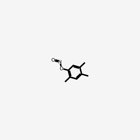 Cc1cc(C)c(ON=O)cc1C